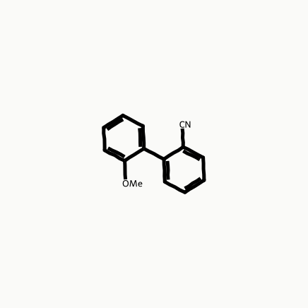 COc1ccccc1-c1ccccc1C#N